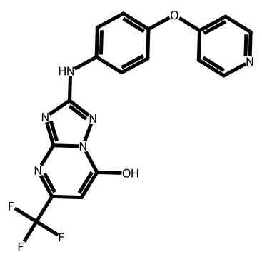 Oc1cc(C(F)(F)F)nc2nc(Nc3ccc(Oc4ccncc4)cc3)nn12